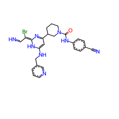 N#Cc1ccc(NC(=O)N2CCCC(C3=N/C(=C(\Br)C=N)NC(NCc4cccnc4)=C3)C2)cc1